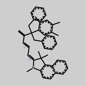 C=C(/C=C/C=C1/N(C)c2ccc3ccccc3c2C1(C)C)C(Cc1ccccc1)(Cc1ccccc1)c1cc(C)c(C)cc1C